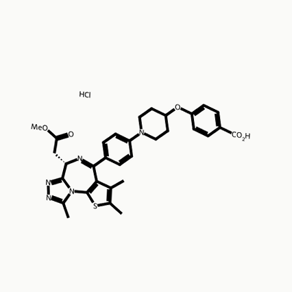 COC(=O)C[C@@H]1N=C(c2ccc(N3CCC(Oc4ccc(C(=O)O)cc4)CC3)cc2)c2c(sc(C)c2C)-n2c(C)nnc21.Cl